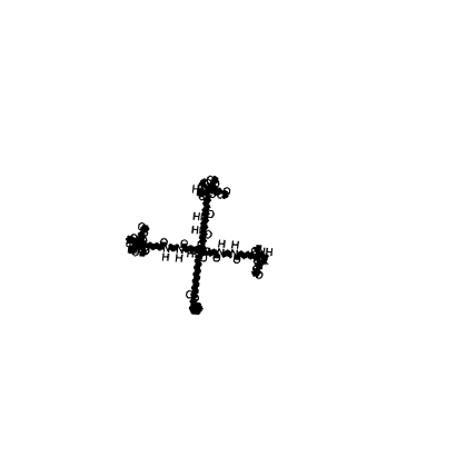 CC(=O)NC1[C@H](OCCCCC(=O)NCCCNC(=O)CCOCC(COCCC(=O)NCCCNC(=O)CCCCO[C@@H]2OC(COC(C)=O)[C@@H](OC(C)=O)[C@H](OC(C)=O)C2NC(C)=O)(COCCC(=O)NCCCNC(=O)CCCCO[C@@H]2OC(COC(C)=O)[C@@H](OC(C)=O)[C@H](OC(C)=O)C2NC(C)=O)NC(=O)CCCCCCCCCCC(=O)OCc2ccccc2)OC(COC(C)=O)[C@@H](C)[C@@H]1C